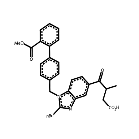 CCCCc1nc2cc(C(=O)C(C)CC(=O)O)ccc2n1Cc1ccc(-c2ccccc2C(=O)OC)cc1